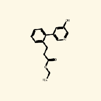 CCOC(=O)CCc1ccccc1-c1cncc(O)c1